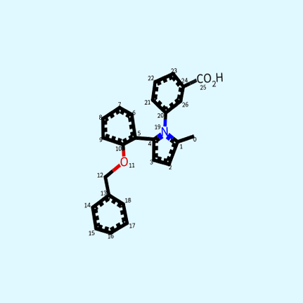 Cc1ccc(-c2ccccc2OCc2ccccc2)n1-c1cccc(C(=O)O)c1